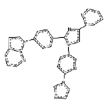 c1ccc(-c2cn(-c3ccc(-n4ccnc4)nc3)c(-c3ccc(-n4ccc5cccnc54)cc3)n2)nc1